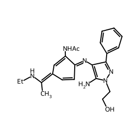 CCNC(C)=C1C=CC(=Nc2c(-c3ccccc3)nn(CCO)c2N)C(NC(C)=O)=C1